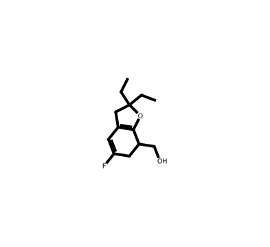 CCC1(CC)CC2=C(O1)C(CO)CC(F)=C2